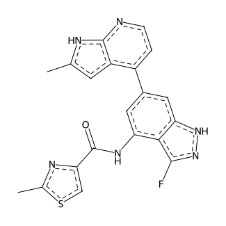 Cc1cc2c(-c3cc(NC(=O)c4csc(C)n4)c4c(F)n[nH]c4c3)ccnc2[nH]1